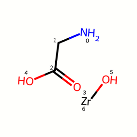 NCC(=O)O.[OH][Zr]